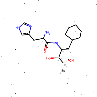 CC[C@H](C)[C@@H](O)[C@@H](O)[C@H](CC1CCCCC1)NC(=O)C(N)Cc1c[nH]cn1